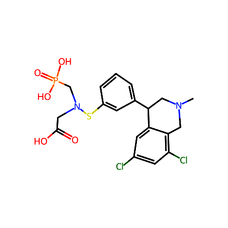 CN1Cc2c(Cl)cc(Cl)cc2C(c2cccc(SN(CC(=O)O)CP(=O)(O)O)c2)C1